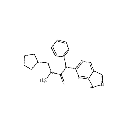 CN(CN1CCCC1)C(=O)N(c1ccccc1)c1ncc2cn[nH]c2n1